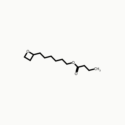 CCCC(=O)OCCCCCCC1CCO1